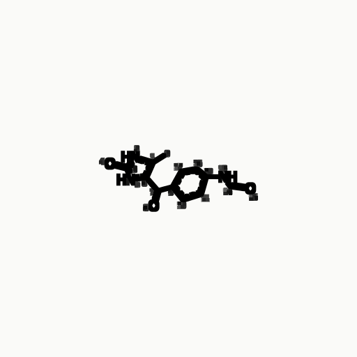 Cc1[nH]c(=O)[nH]c1C(=O)c1ccc(NC=O)cc1